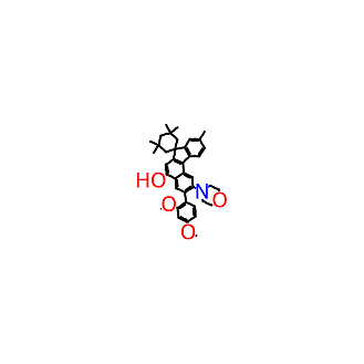 COc1ccc(-c2cc3c(O)cc4c(c3cc2N2CCOCC2)-c2ccc(C)cc2C42CC(C)(C)CC(C)(C)C2)c(OC)c1